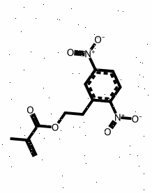 C=C(C)C(=O)OCCc1cc([N+](=O)[O-])ccc1[N+](=O)[O-]